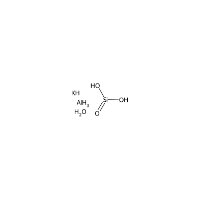 O.O=[Si](O)O.[AlH3].[KH]